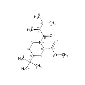 COC(=O)[C@@H]1C[C@H](C(C)(C)C)CCN1C(=O)[C@@H](N)C(C)C